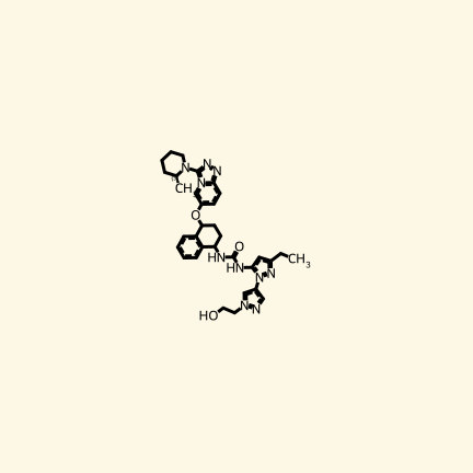 CCc1cc(NC(=O)NC2CCC(Oc3ccc4nnc(N5CCCC[C@@H]5C)n4c3)c3ccccc32)n(-c2cnn(CCO)c2)n1